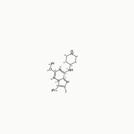 Cc1nc2c(NC3CCNCC3)nc(OC(C)C)nn2c1C(C)C